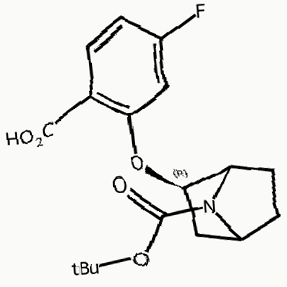 CC(C)(C)OC(=O)N1C2CCC1[C@H](Oc1cc(F)ccc1C(=O)O)C2